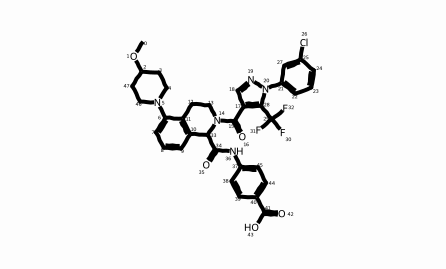 COC1CCN(c2cccc3c2CCN(C(=O)c2cnn(-c4cccc(Cl)c4)c2C(F)(F)F)C3C(=O)Nc2ccc(C(=O)O)cc2)CC1